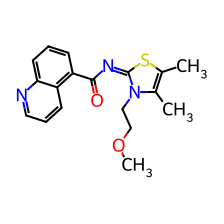 COCCn1c(C)c(C)sc1=NC(=O)c1cccc2ncccc12